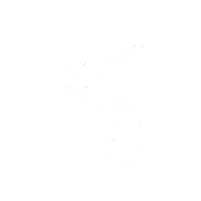 CNCCCCC(N)(C(=O)O)C(=O)OCc1cccc2c1Cc1ccccc1-2